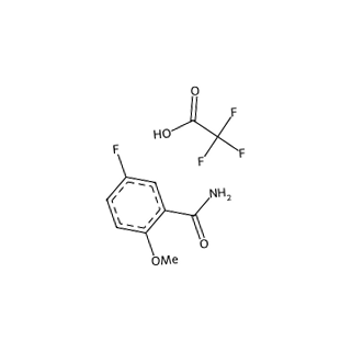 COc1ccc(F)cc1C(N)=O.O=C(O)C(F)(F)F